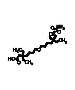 CCC(CC)(CCCCOCCCCC(CC)(CC)CC(=O)O)CCS(N)(=O)=O